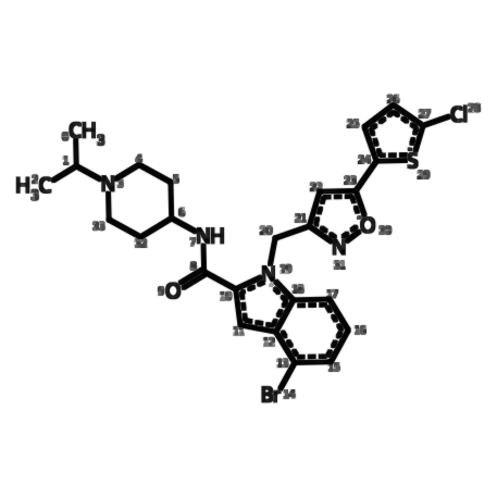 CC(C)N1CCC(NC(=O)c2cc3c(Br)cccc3n2Cc2cc(-c3ccc(Cl)s3)on2)CC1